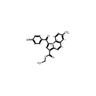 CCOC(=O)c1cc(C(=O)c2ccc(Br)cc2)n2c1ccc1cc(C)ccc12